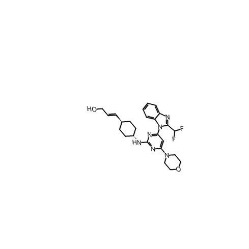 OC/C=C/[C@H]1CC[C@H](Nc2nc(N3CCOCC3)cc(-n3c(C(F)F)nc4ccccc43)n2)CC1